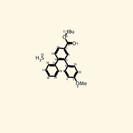 COc1ccc(-c2cc(C(=O)OC(C)(C)C)ccc2-c2ccccc2)cc1.S